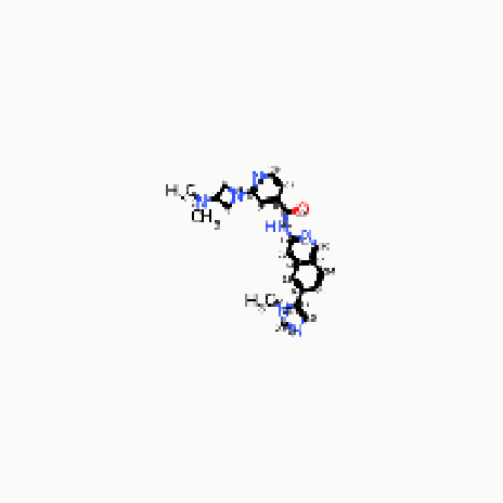 CN(C)C1CN(c2cc(C(=O)Nc3cc4cc(-c5cncn5C)ccc4cn3)ccn2)C1